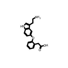 NCCc1c[nH]c2ccc(Oc3ccccc3CC(=O)O)cc12